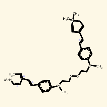 C/C=C(\C=C/NC)/C=C/c1ccc(N(C)CCSSCCN(C)c2ccc(/C=C/C3=CC[N+](C)(C)C=C3)cc2)cc1